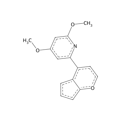 COc1cc(OC)nc(-c2ccoc3cccc2-3)c1